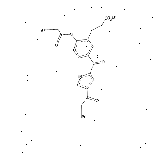 CCOC(=O)CCc1cc(C(=O)c2cc(C(=O)CC(C)C)c[nH]2)ccc1OC(=O)CC(C)C